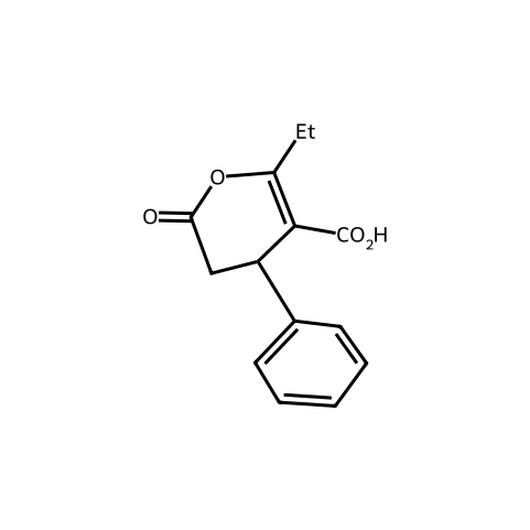 CCC1=C(C(=O)O)C(c2ccccc2)CC(=O)O1